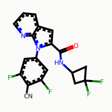 N#Cc1c(F)cc(-n2c(C(=O)NC3CC(F)(F)C3)cc3cccnc32)cc1F